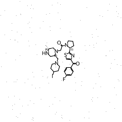 C[C@@H]1CN(CC(=O)N2CCC[C@H]2c2nc(C(=O)c3ccc(F)cc3)cs2)[C@@H](CN2CCC(I)CC2)CN1